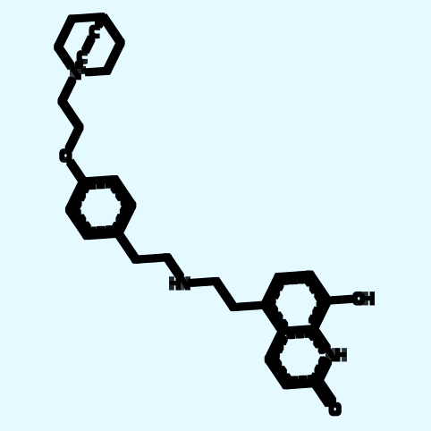 O=c1ccc2c(CCNCCc3ccc(OCC[N+]45CCC(CC4)CC5)cc3)ccc(O)c2[nH]1